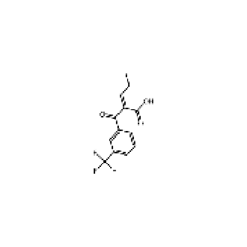 CCC=C(C(=O)O)C(=O)c1cccc(C(F)(F)F)c1